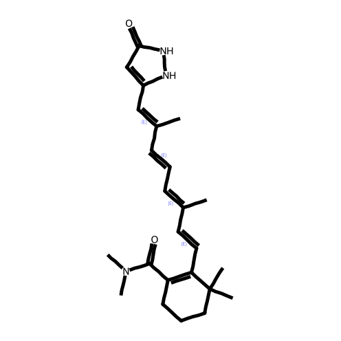 CC(/C=C/C1=C(C(=O)N(C)C)CCCC1(C)C)=C\C=C\C(C)=C\c1cc(=O)[nH][nH]1